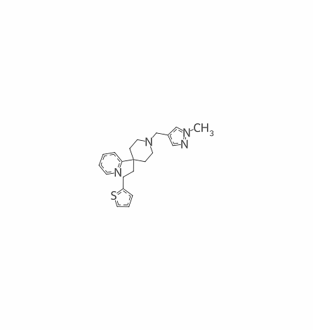 Cn1cc(CN2CCC(CCc3cccs3)(c3ccccn3)CC2)cn1